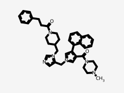 CN1CCN(C(=O)c2cn(Cc3cncn3CC3CCN(C(=O)CCc4ccccc4)CC3)cc2-c2cccc3ccccc23)CC1